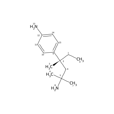 CC[C@](C)(CC(C)(C)N)c1ccc(N)cc1